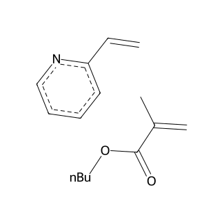 C=C(C)C(=O)OCCCC.C=Cc1ccccn1